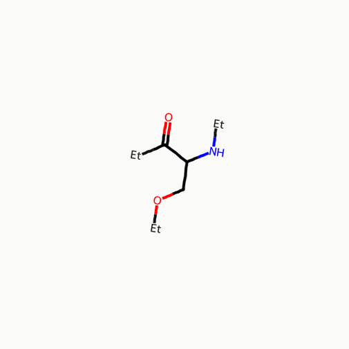 CCNC(COCC)C(=O)CC